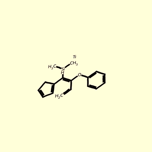 C=CC(Oc1ccccc1)=C(C1=CC=CC1)[SiH](C)C.[Ti]